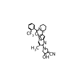 Cc1cn2nc([C@@H]3CCCCN3C(=O)c3ccccc3C(F)(F)F)cc2nc1N1C[C@@H](C#N)[C@@H](O)C1